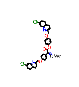 CON=C(C(=O)Oc1ccc(OCc2ccc3ccc(Cl)cc3n2)cc1)c1ccc(OCc2ccc3ccc(Cl)cc3n2)cc1